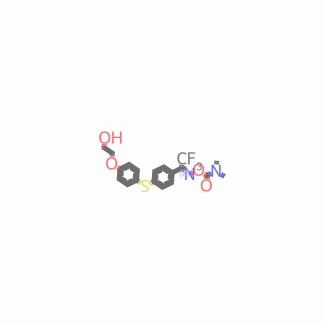 CN(C)C(=O)O/N=C(/c1ccc(Sc2ccc(OCCO)cc2)cc1)C(F)(F)F